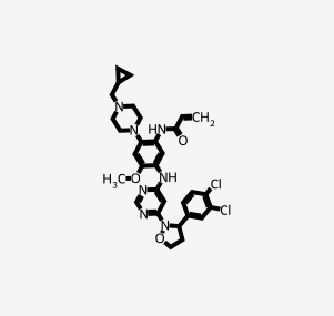 C=CC(=O)Nc1cc(Nc2cc(N3OCCC3c3ccc(Cl)c(Cl)c3)ncn2)c(OC)cc1N1CCN(CC2CC2)CC1